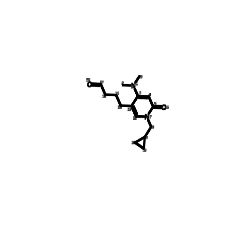 CN(C)c1cc(=O)n(CC2CC2)cc1CCCC=O